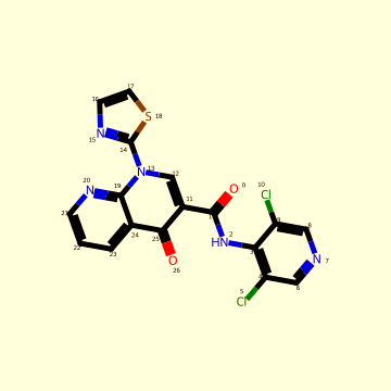 O=C(Nc1c(Cl)cncc1Cl)c1cn(-c2nccs2)c2ncccc2c1=O